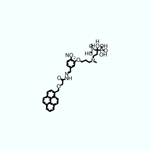 CN(CCCOc1cc(/C=N/NC(=O)COCc2ccc3ccc4cccc5ccc2c3c45)ccc1[N+](=O)[O-])CCC(O)([PH](=O)O)P(=O)(O)O